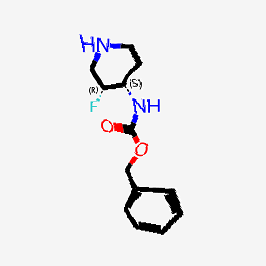 O=C(N[C@H]1CCNC[C@H]1F)OCc1ccccc1